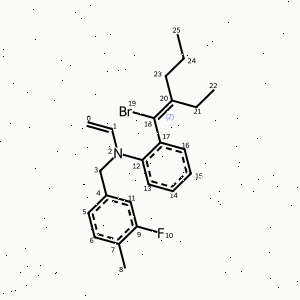 C=CN(Cc1ccc(C)c(F)c1)c1ccccc1/C(Br)=C(\CC)CCC